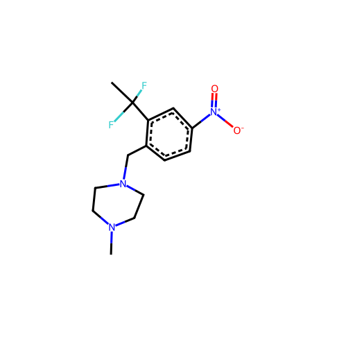 CN1CCN(Cc2ccc([N+](=O)[O-])cc2C(C)(F)F)CC1